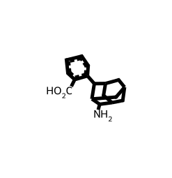 NC1C2CC3CC(C2)C(c2ccccc2C(=O)O)C1C3